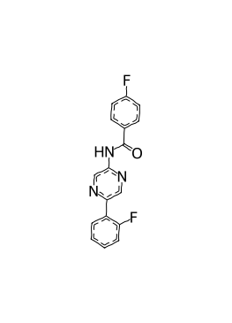 O=C(Nc1cnc(-c2ccccc2F)cn1)c1ccc(F)cc1